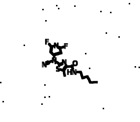 CCCCCNC(=O)c1nc(N(C#N)c2cc(F)nc(F)c2)sc1C